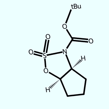 CC(C)(C)OC(=O)N1[C@H]2CCC[C@H]2OS1(=O)=O